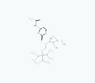 CC(=O)Nc1ccn([C@@H]2O[C@H](CO)C(O)C2OCO[Si](C(C)C)(C(C)C)C(C)C)c(=O)n1